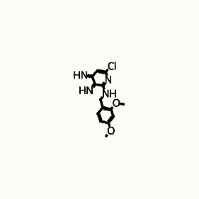 COc1ccc(CNC2=NC(Cl)=CC(=N)C2=N)c(OC)c1